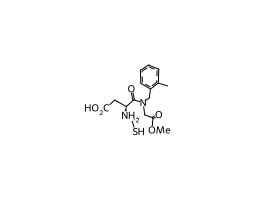 COC(=O)[C@H](CS)N(Cc1ccccc1C)C(=O)[C@@H](N)CC(=O)O